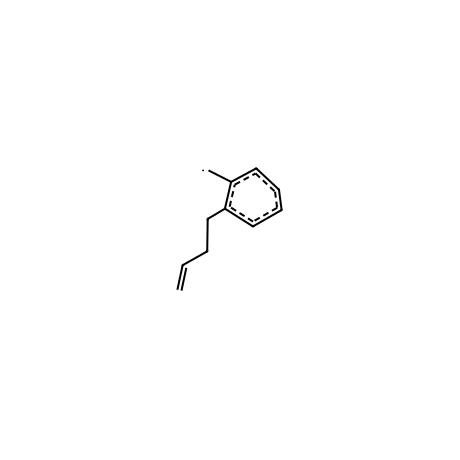 [CH2]c1ccccc1CCC=C